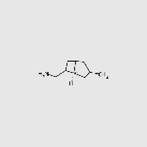 CC1CC2CC(CN)[C@@H]2C1